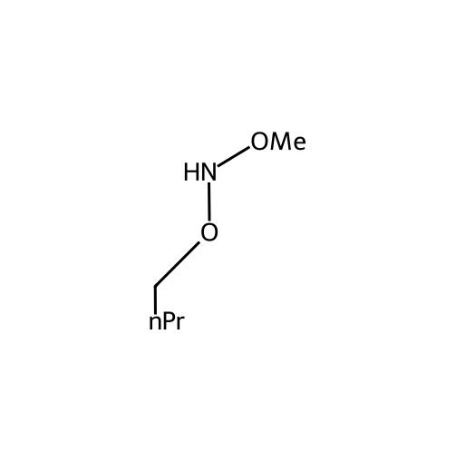 CCCCONOC